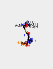 CC(=O)NC(CCCSSCCC(=O)NCC#Cc1cn(C2CC(O)C(COP(P)P)O2)c2ncnc(N)c12)C(=O)NC(CC(=O)O)C(=O)NC(CC(=O)O)C(=O)O